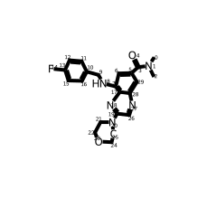 CN(C)C(=O)c1cc(NCc2ccc(F)cc2)c2nc(N3CCOCC3)cnc2c1